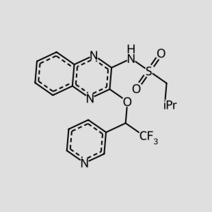 CC(C)CS(=O)(=O)Nc1nc2ccccc2nc1OC(c1cccnc1)C(F)(F)F